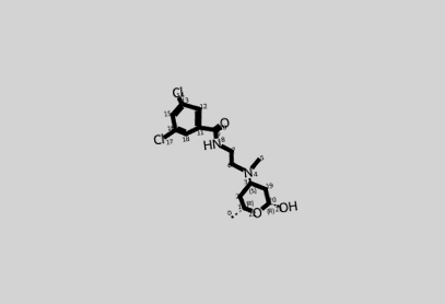 C[C@@H]1C[C@H](N(C)CCNC(=O)c2cc(Cl)cc(Cl)c2)C[C@H](O)O1